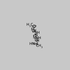 Cc1cccc(-c2nccc(Nc3ccnc(Nc4nc(CN(C)C5CNC5)cs4)n3)n2)n1